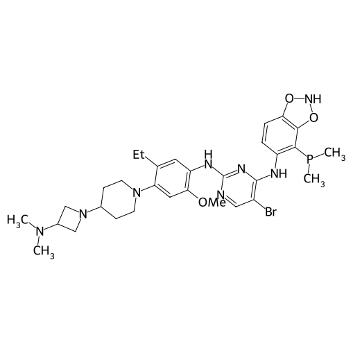 CCc1cc(Nc2ncc(Br)c(Nc3ccc4c(c3P(C)C)ONO4)n2)c(OC)cc1N1CCC(N2CC(N(C)C)C2)CC1